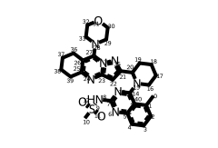 Cc1cccc2nc(NS(C)(=O)=O)nc(N3CCCCC3c3cc4nc5c(c(N6CCOCC6)n4n3)CCCC5)c12